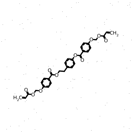 C=CC(=O)OCOc1ccc(C(=O)OCCc2ccc(OC(=O)c3ccc(OCOC(=O)C=C)cc3)cc2)cc1